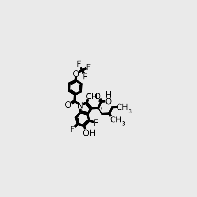 CCC(C)C[C@H](C(=O)O)c1c(C)n(C(=O)c2ccc(OC(F)(F)F)cc2)c2cc(F)c(O)c(F)c12